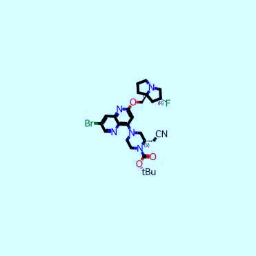 CC(C)(C)OC(=O)N1CCN(c2cc(OC[C@@]34CCCN3C[C@H](F)C4)nc3cc(Br)cnc23)C[C@@H]1CC#N